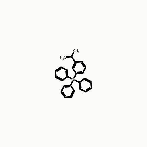 CC(C)c1cccc([Si](c2ccccc2)(c2ccccc2)c2ccccc2)c1